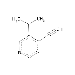 C#Cc1ccncc1C(C)C